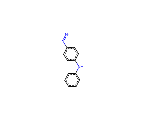 [N]=Nc1ccc(Nc2ccccc2)cc1